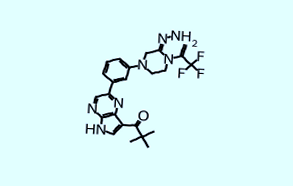 C=C(N1CCN(c2cccc(-c3cnc4[nH]cc(C(=O)C(C)(C)C)c4n3)c2)C/C1=N/N)C(F)(F)F